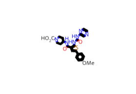 COc1ccc(-c2cc(C(=O)NC3CCN(C(=O)O)CC3)c(NC(=O)Nc3cnccn3)s2)cc1